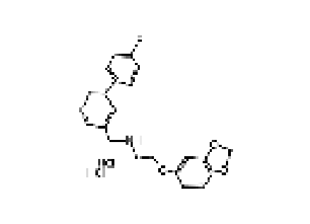 Cl.Cl.Fc1ccc(-c2cncc(CNCCOc3ccc4c(c3)OCO4)c2)cc1